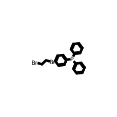 BrCCBr.c1ccc(P(c2ccccc2)c2ccccc2)cc1